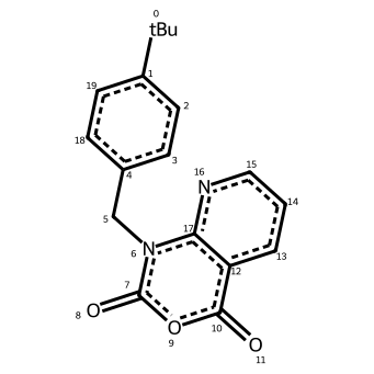 CC(C)(C)c1ccc(Cn2c(=O)oc(=O)c3cccnc32)cc1